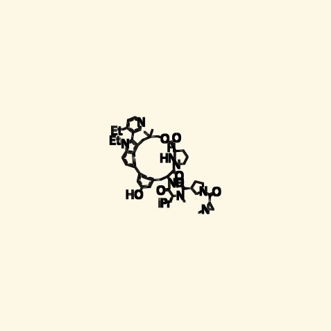 CCc1ccncc1-c1c2c3cc(ccc3n1CC)-c1cc(O)cc(c1)C[C@H](NC(=O)[C@H](C(C)C)N(C)C(=O)[C@H]1CCN(C(=O)[C@H]3CN3C)C1)C(=O)N1CCC[C@H](N1)C(=O)OCC(C)(C)C2